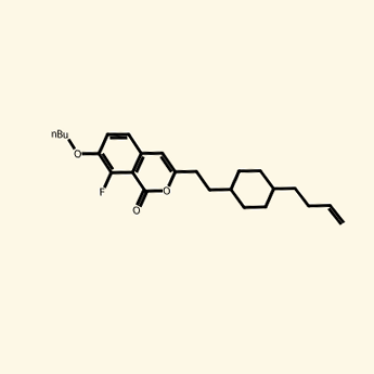 C=CCCC1CCC(CCc2cc3ccc(OCCCC)c(F)c3c(=O)o2)CC1